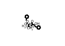 CC1(C)S[C@@H]2C(C(O)Cc3ccccc3)C(=O)N2[C@H]1C(=O)OCc1ccccc1